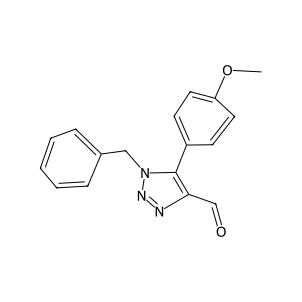 COc1ccc(-c2c(C=O)nnn2Cc2ccccc2)cc1